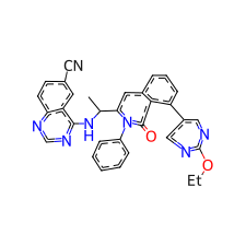 CCOc1ncc(-c2cccc3cc(C(C)Nc4ncnc5ccc(C#N)cc45)n(-c4ccccc4)c(=O)c23)cn1